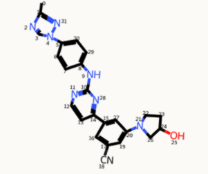 Cc1ncn(-c2ccc(Nc3nccc(-c4cc(C#N)cc(N5CCC(O)C5)c4)n3)cc2)n1